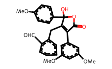 COc1ccc(C2(O)OC(=O)C(c3cc(OC)cc(OC)c3)=C2Cc2ccccc2C=O)cc1